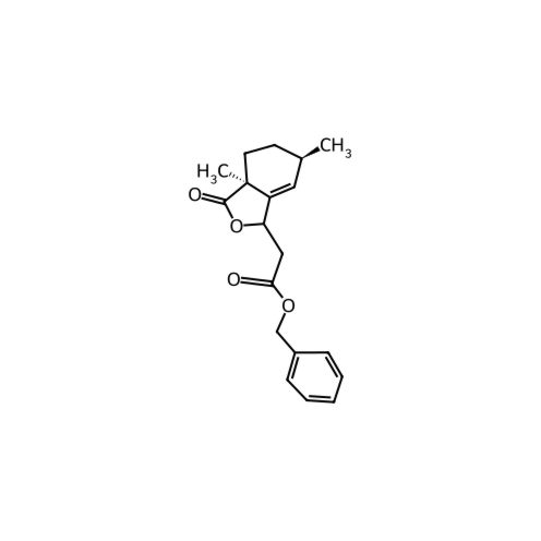 C[C@H]1C=C2C(CC(=O)OCc3ccccc3)OC(=O)[C@@]2(C)CC1